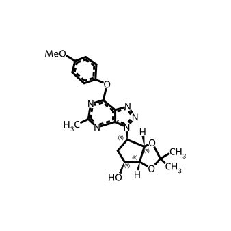 COc1ccc(Oc2nc(C)nc3c2nnn3[C@@H]2C[C@H](O)[C@H]3OC(C)(C)O[C@H]32)cc1